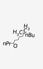 CCCCC(C)(C)CCCCC(=O)CCC